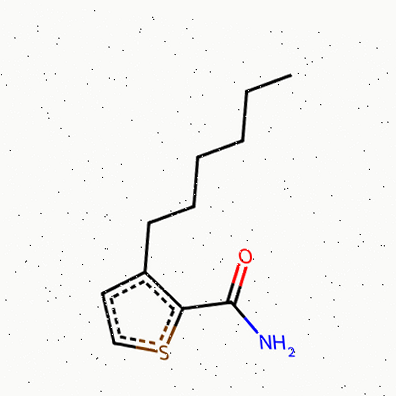 CCCCCCc1ccsc1C(N)=O